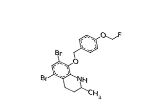 CC1CCc2c(Br)cc(Br)c(OCc3ccc(OCF)cc3)c2N1